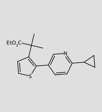 CCOC(=O)C(C)(C)c1ccsc1-c1ccc(C2CC2)nc1